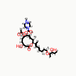 CC[C@H](O)C(C)O[C@@H](C)C[C@H](C)/C=C/C=C(\C)[C@H]1OC(=O)C[C@H](O)CC[C@@](C)(OC(C)=O)[C@@H](OC(=O)N2CCN(C)CC2)/C=C/[C@@H]1C